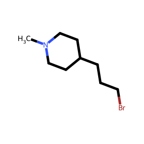 CN1CCC(CCCBr)CC1